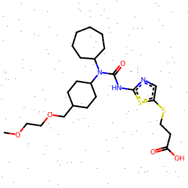 COCCOCC1CCC(N(C(=O)Nc2ncc(SCCC(=O)O)s2)C2CCCCCC2)CC1